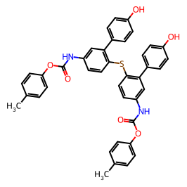 Cc1ccc(OC(=O)Nc2ccc(Sc3ccc(NC(=O)Oc4ccc(C)cc4)cc3-c3ccc(O)cc3)c(-c3ccc(O)cc3)c2)cc1